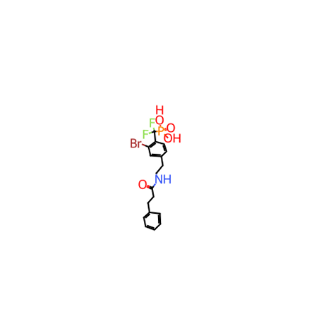 O=C(CCc1ccccc1)NCCc1ccc(C(F)(F)P(=O)(O)O)c(Br)c1